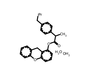 CC(C)Cc1ccc(C(C)C(=O)Oc2cccc3c2Cc2ccccc2O3)cc1.O.O